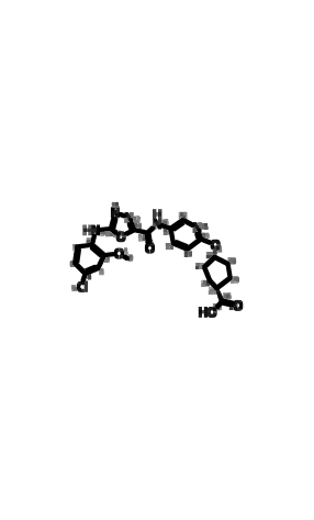 COc1cc(Cl)ccc1Nc1nnc(C(=O)Nc2ccc(O[C@H]3CC[C@H](C(=O)O)CC3)nc2)o1